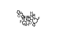 NC(N)C(C(=O)NC1CNCC(F)C1N1CCC(CN2CCCC2=O)CC1)C1CC2(CCCC2)CCC(F)CN1